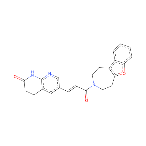 O=C1CCc2cc(/C=C/C(=O)N3CCc4oc5ccccc5c4CC3)cnc2N1